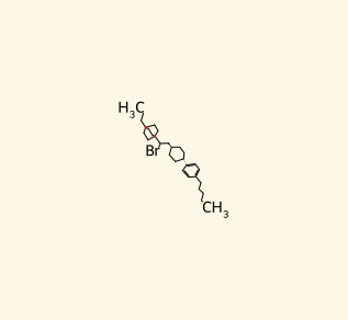 CCCCCc1ccc([C@H]2CC[C@H](CC(Br)C34CCC(CCC)(CC3)CC4)CC2)cc1